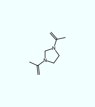 C=C(C)N1CCN(C(=C)C)C1